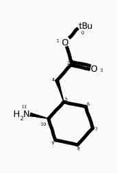 CC(C)(C)OC(=O)C[C@H]1CCCC[C@H]1N